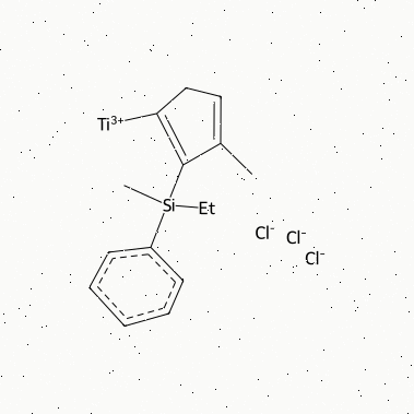 CC[Si](C)(C1=[C]([Ti+3])CC=C1C)c1ccccc1.[Cl-].[Cl-].[Cl-]